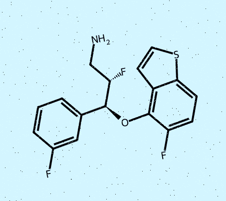 NC[C@H](F)[C@@H](Oc1c(F)ccc2sccc12)c1cccc(F)c1